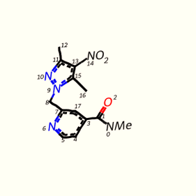 CNC(=O)c1ccnc(Cn2nc(C)c([N+](=O)[O-])c2C)c1